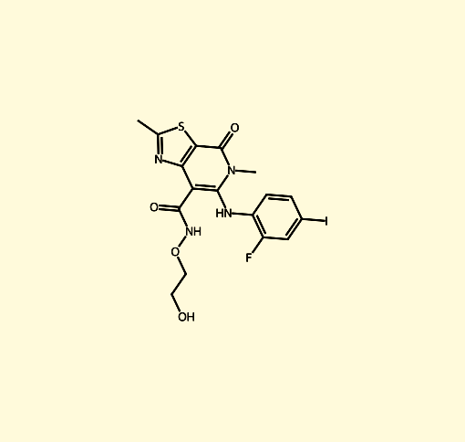 Cc1nc2c(C(=O)NOCCO)c(Nc3ccc(I)cc3F)n(C)c(=O)c2s1